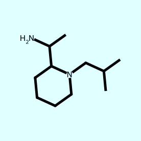 CC(C)CN1CCCCC1C(C)N